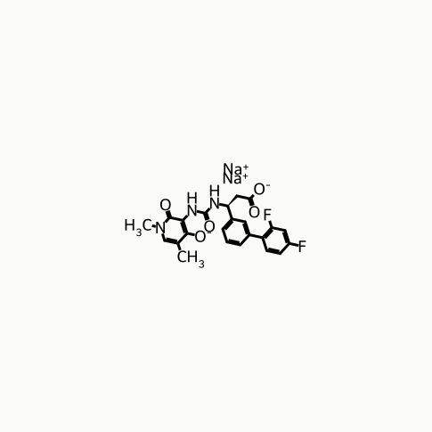 Cc1cn(C)c(=O)c(NC(=O)N[C@@H](CC(=O)[O-])c2cccc(-c3ccc(F)cc3F)c2)c1[O-].[Na+].[Na+]